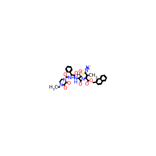 CCN1CCN(C(=O)NC(C(=O)NC2C(=O)N3C(C(=O)OCc4ccc5ccccc5c4)=C(C)C(=[N+]=[N-])[S@+]([O-])[C@@H]23)c2ccccc2)C(=O)C1=O